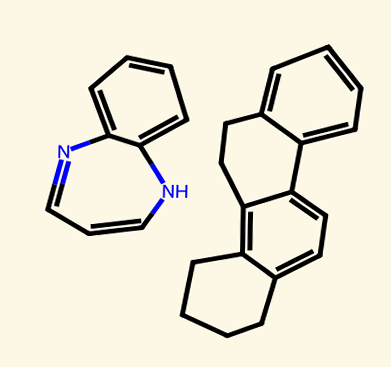 C1=CNc2ccccc2N=C1.c1ccc2c(c1)CCc1c-2ccc2c1CCCC2